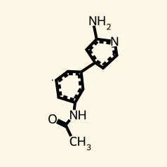 CC(=O)Nc1c[c]cc(-c2ccnc(N)c2)c1